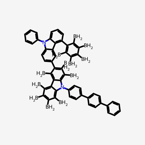 Bc1c(B)c(B)c(-c2cccc3c2c2cc(-c4c(B)c(B)c5c(c4B)c4c(B)c(B)c(B)c(B)c4n5-c4ccc(-c5ccc(-c6ccccc6)cc5)cc4)ccc2n3-c2ccccc2)c(B)c1B